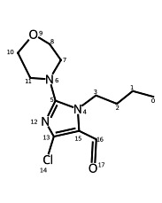 CCCCn1c(N2CCOCC2)nc(Cl)c1C=O